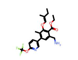 CCOC(=O)c1c(CN)cc(-c2ccc(OC(F)(F)F)nc2)c(C)c1O/C=C(\C)CC